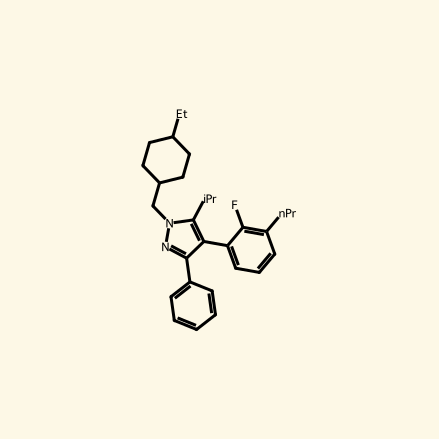 CCCc1cccc(-c2c(-c3ccccc3)nn(CC3CCC(CC)CC3)c2C(C)C)c1F